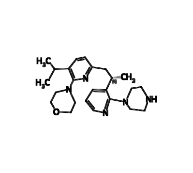 CC(C)c1ccc(C[C@H](C)c2cccnc2N2CCNCC2)nc1N1CCOCC1